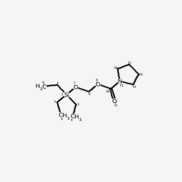 CC[Si](CC)(CC)OCOC(=O)N1CCCC1